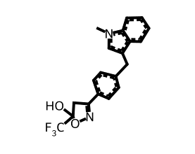 Cn1cc(Cc2ccc(C3=NOC(O)(C(F)(F)F)C3)cc2)c2ccccc21